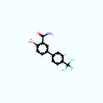 NC(=O)c1cc(-c2ccc(C(F)(F)F)cc2)ccc1O